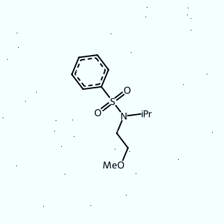 COCCN(C(C)C)S(=O)(=O)c1ccccc1